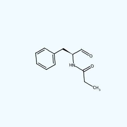 CCC(=O)N[C@H]([C]=O)Cc1ccccc1